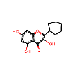 O=c1c(O)c(C2CCCCC2)oc2cc(O)cc(O)c12